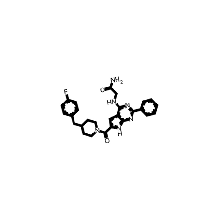 NC(=O)CNc1nc(-c2ccccc2)nc2[nH]c(C(=O)N3CCC(Cc4ccc(F)cc4)CC3)cc12